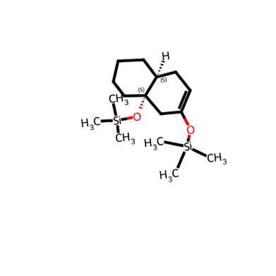 C[Si](C)(C)OC1=CC[C@@H]2CCCC[C@]2(O[Si](C)(C)C)C1